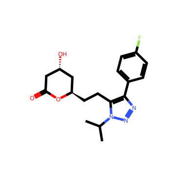 CC(C)n1nnc(-c2ccc(F)cc2)c1CC[C@@H]1C[C@@H](O)CC(=O)O1